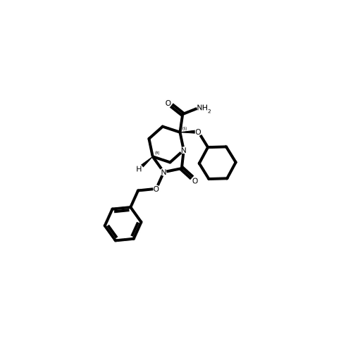 NC(=O)[C@@]1(OC2CCCCC2)CC[C@@H]2CN1C(=O)N2OCc1ccccc1